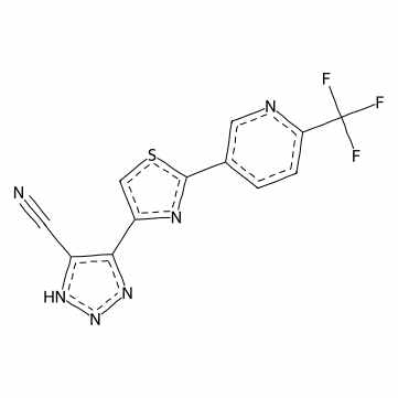 N#Cc1[nH]nnc1-c1csc(-c2ccc(C(F)(F)F)nc2)n1